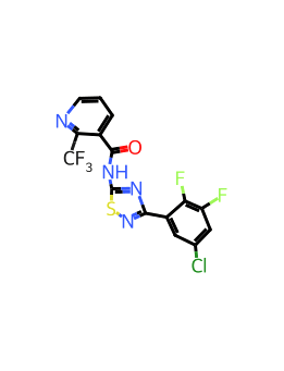 O=C(Nc1nc(-c2cc(Cl)cc(F)c2F)ns1)c1cccnc1C(F)(F)F